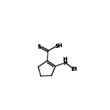 CCNC1=C(C(=S)S)CCC1